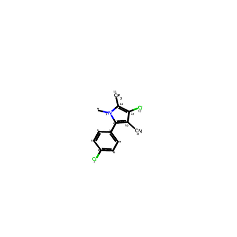 Cn1c(-c2ccc(Cl)cc2)c(C#N)c(Cl)c1C(F)(F)F